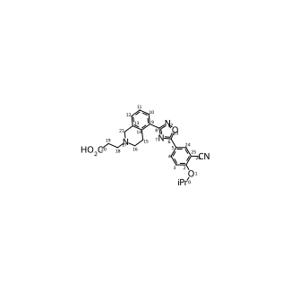 CC(C)Oc1ccc(-c2nc(-c3cccc4c3CCN(CCC(=O)O)C4)no2)cc1C#N